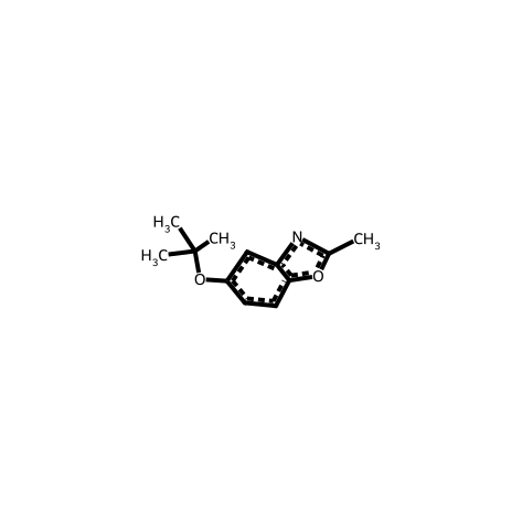 Cc1nc2cc(OC(C)(C)C)ccc2o1